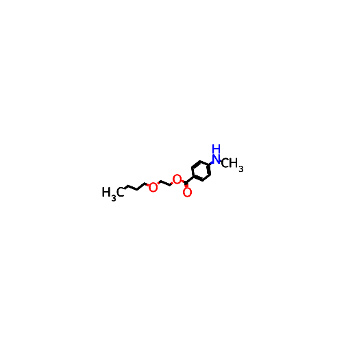 CCCCOCCOC(=O)c1ccc(NC)cc1